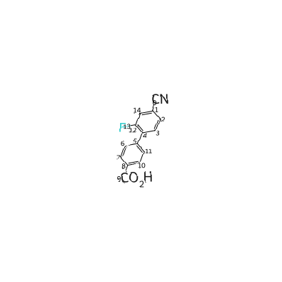 N#Cc1ccc(-c2ccc(C(=O)O)cc2)c(F)c1